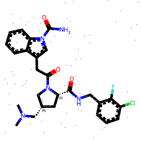 CN(C)C[C@H]1C[C@@H](C(=O)NCc2cccc(Cl)c2F)N(C(=O)Cc2cn(C(N)=O)c3ccccc23)C1